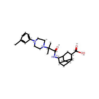 Cc1cccc(N2CCN(C(C)(C)C(=O)NC3C4CC5CC3CC(C(=O)O)(C5)C4)CC2)c1